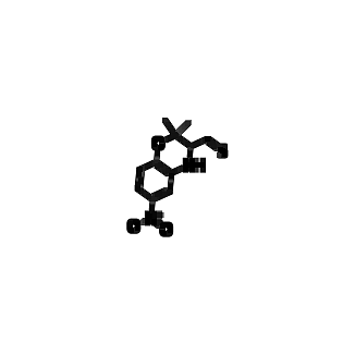 CC1(C)Oc2ccc([N+](=O)[O-])cc2NC1C=S